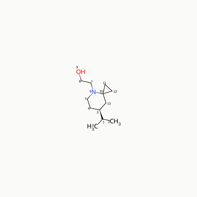 CC(C)[C@H]1CCN(CCO)C2(CC2)C1